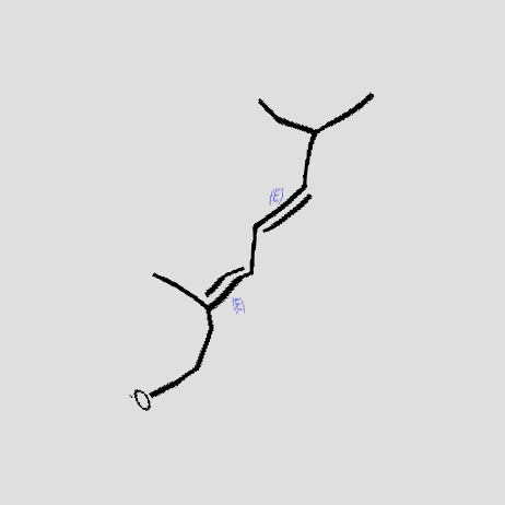 C/C(=C\C=C\C(C)C)C[O]